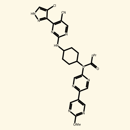 CCCC(=O)N(c1cnc(-c2cnc(OC)nc2)cn1)C1CCC(Nc2ncc(C#N)c(-c3n[nH]cc3Cl)n2)CC1